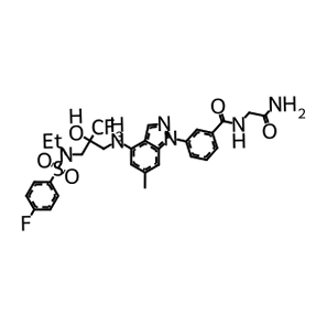 CCN(CC(O)(CNc1cc(C)cc2c1cnn2-c1cccc(C(=O)NCC(N)=O)c1)C(F)(F)F)S(=O)(=O)c1ccc(F)cc1